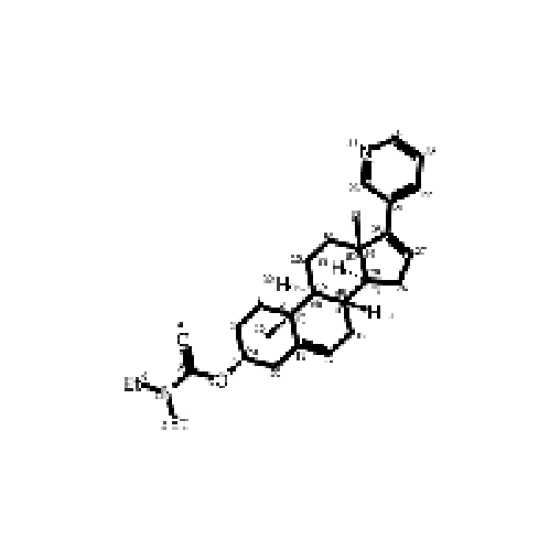 CCN(CC)C(=O)O[C@H]1CC[C@@]2(C)C(=CC[C@@H]3[C@@H]2CC[C@]2(C)C(c4cccnc4)=CC[C@@H]32)C1